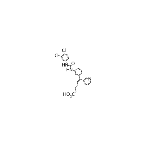 O=C(O)CCC/C=C(\c1cccnc1)c1cccc(NC(=O)Nc2ccc(Cl)c(Cl)c2)c1